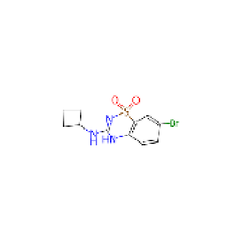 O=S1(=O)N=C(NC2CCC2)Nc2ccc(Br)cc21